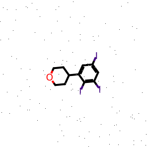 Ic1cc(I)c(I)c(C2CCOCC2)c1